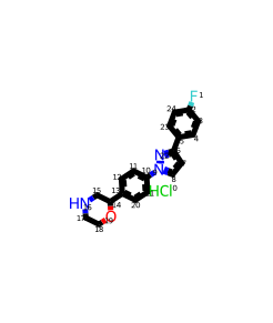 Cl.Fc1ccc(-c2ccn(-c3ccc(C4CNCCO4)cc3)n2)cc1